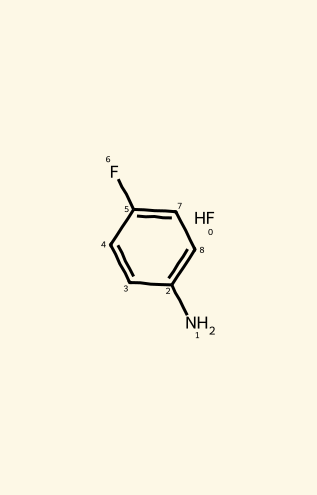 F.Nc1ccc(F)cc1